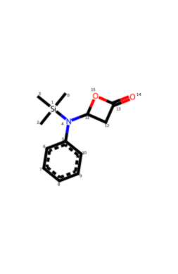 C[Si](C)(C)N(c1ccccc1)C1CC(=O)O1